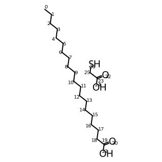 CCCCCCCCCCCCCCCCCCCC(=O)O.O=C(O)CS